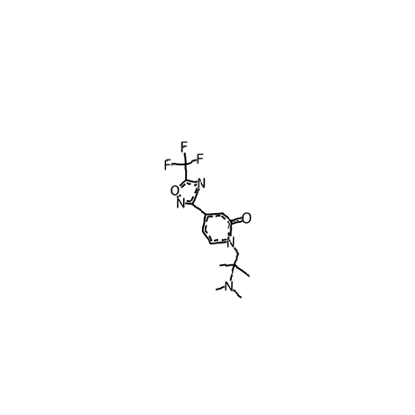 CN(C)C(C)(C)Cn1ccc(-c2noc(C(F)(F)F)n2)cc1=O